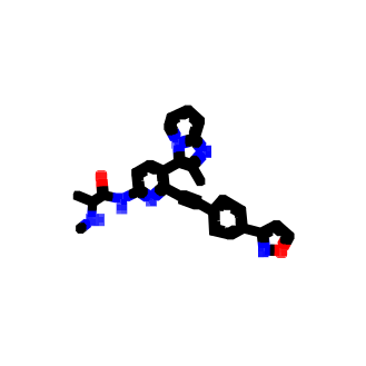 CNC(C)C(=O)Nc1ccc(-c2c(C)nc3ccccn23)c(C#Cc2ccc(-c3ccon3)cc2)n1